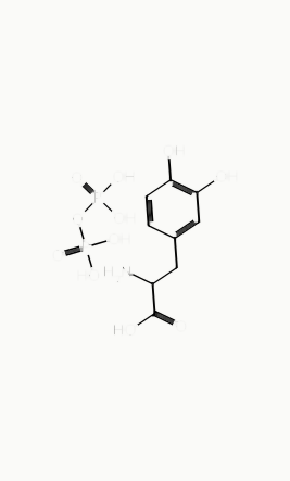 NC(Cc1ccc(O)c(O)c1)C(=O)O.O=P(O)(O)OP(=O)(O)O